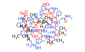 CC[C@H](C)[C@H](NC(=O)[C@@H](NC(=O)[C@@H](NC(=O)[C@H](CCCNC(=N)N)NC(=O)[C@@H](N)CO)C(C)C)C(C)C)C(=O)N[C@@H](CCC(N)=O)C(=O)N1CCC[C@H]1C(=O)N[C@@H](CO)C(=O)N1CCC[C@H]1C(=O)N[C@H](C(=O)N[C@H](C(=O)N[C@H](C(=O)N[C@H](C(=O)N[C@@H](CC(C)C)C(=O)N1CCC[C@H]1C(=O)NCC(=O)O)[C@@H](C)O)C(C)C)C(C)C)C(C)C